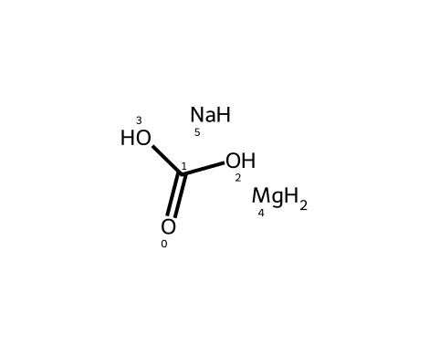 O=C(O)O.[MgH2].[NaH]